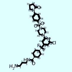 NCCCNC(=O)[C@H]1CC[C@H](C(F)(F)c2cc(Cl)nc(N3CCN(S(=O)(=O)c4ccc(N5CCCC5=O)cc4)CC3)c2)CC1